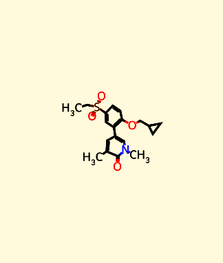 CCS(=O)(=O)c1ccc(OCC2CC2)c(-c2cc(C)c(=O)n(C)c2)c1